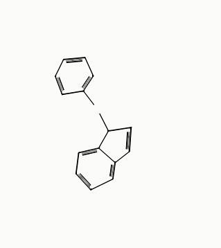 C1=C[CH]([Ti+3][c]2ccccc2)c2ccccc21.[Cl-].[Cl-].[Cl-]